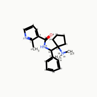 Cc1ncccc1C(=O)NC(c1ccccc1)C1(N(C)C)CCCC1